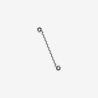 c1ccc(SSCCCCCCCCCCCCCCCCCCSSc2ccccn2)nc1